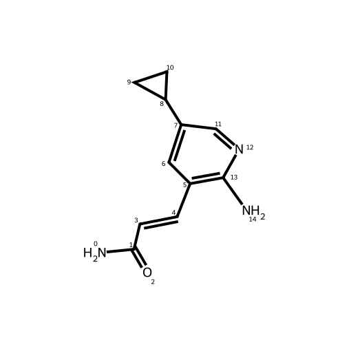 NC(=O)C=Cc1cc(C2CC2)cnc1N